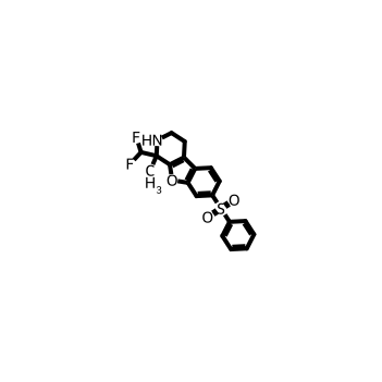 CC1(C(F)F)NCCc2c1oc1cc(S(=O)(=O)c3ccccc3)ccc21